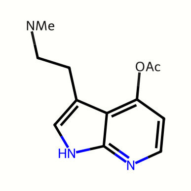 CNCCc1c[nH]c2nccc(OC(C)=O)c12